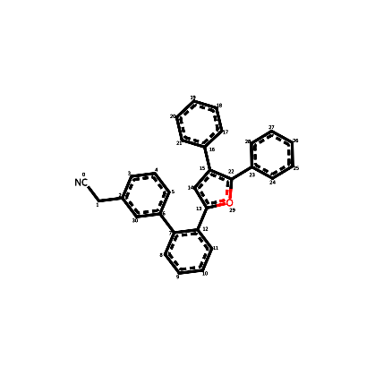 N#CCc1cccc(-c2ccccc2-c2cc(-c3ccccc3)c(-c3ccccc3)o2)c1